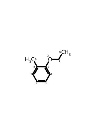 CCOc1ccccc1C